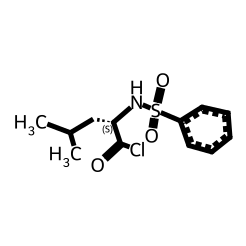 CC(C)C[C@H](NS(=O)(=O)c1ccccc1)C(=O)Cl